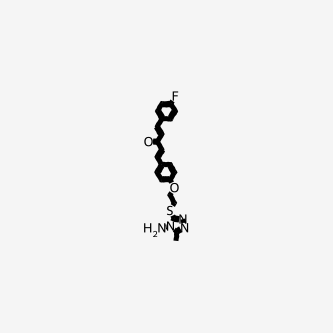 Cc1nnc(SCCOc2ccc(C=CC(=O)C=Cc3ccc(F)cc3)cc2)n1N